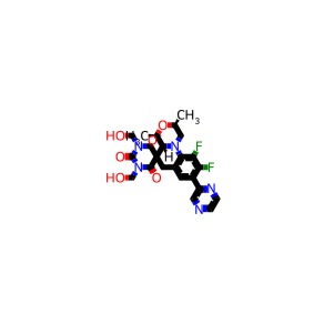 C[C@H]1CN2c3c(cc(-c4cnccn4)c(F)c3F)CC3(C(=O)N(CO)C(=O)N(CO)C3=O)[C@@H]2[C@@H](C)O1